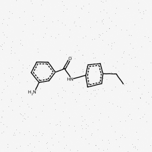 CCc1ccc(NC(=O)c2cccc(N)c2)cc1